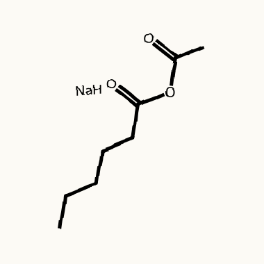 CCCCCC(=O)OC(C)=O.[NaH]